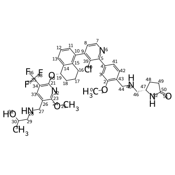 COc1cc(-c2nccc(-c3cccc4c3CCC[C@@H]4Oc3nc(OC)c(CNCC(C)O)cc3C(F)(F)F)c2Cl)ccc1CNC[C@@H]1CCC(=O)N1